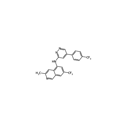 Cc1cc2c(Nc3cc(-c4ccc(C(F)(F)F)cc4)cnn3)cc(C(F)(F)F)cc2cn1